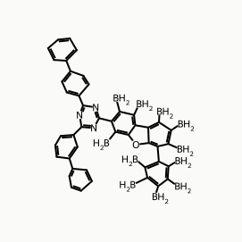 Bc1c(B)c(B)c(-c2c(B)c(B)c(B)c3c2oc2c(B)c(-c4nc(-c5ccc(-c6ccccc6)cc5)nc(-c5cccc(-c6ccccc6)c5)n4)c(B)c(B)c23)c(B)c1B